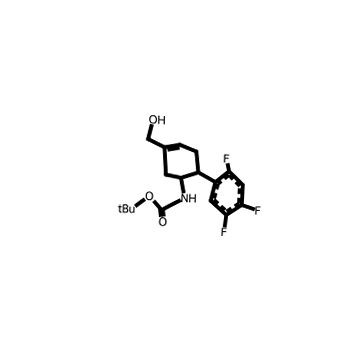 CC(C)(C)OC(=O)NC1CC(CO)=CCC1c1cc(F)c(F)cc1F